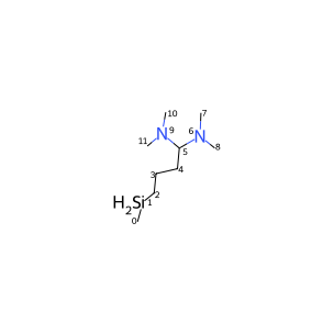 C[SiH2]CCCC(N(C)C)N(C)C